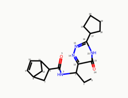 CCC(NC(=O)C1CC2C=CC1C2)c1nnc(C2CCCC2)[nH]c1=O